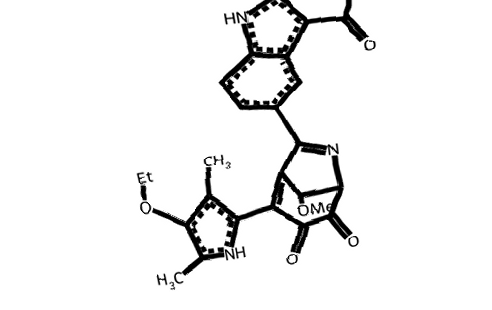 CCOC(=O)C(=O)c1c[nH]c2ccc(C3=NC4C(=O)C(=O)C(c5[nH]c(C)c(OCC)c5C)=C3C4OC)cc12